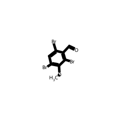 COc1c(Br)cc(Br)c(C=O)c1Br